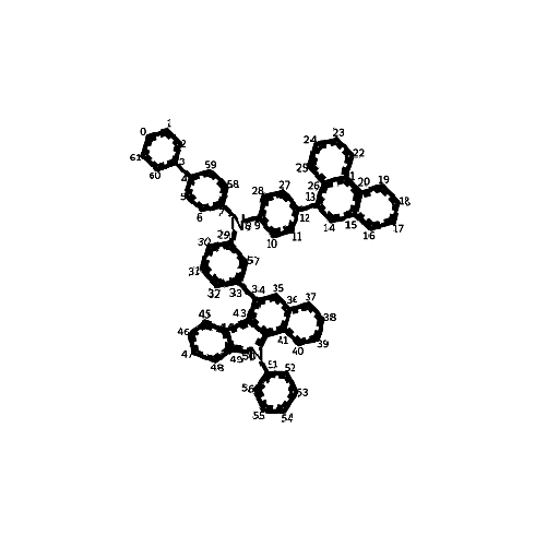 c1ccc(-c2ccc(N(c3ccc(-c4cc5ccccc5c5ccccc45)cc3)c3cccc(-c4cc5ccccc5c5c4c4ccccc4n5-c4ccccc4)c3)cc2)cc1